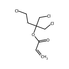 C=CC(=O)OC([CH]CCl)(CCl)CCl